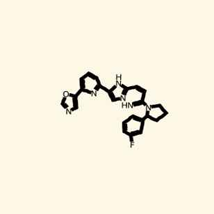 N=C(/C=C\c1ncc(-c2cccc(-c3cnco3)n2)[nH]1)N1CCCC1c1cccc(F)c1